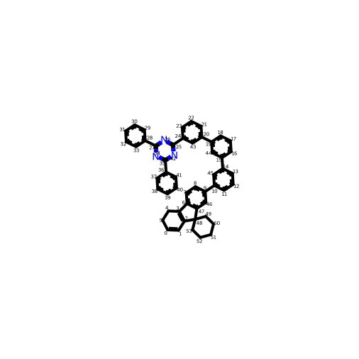 C1=CC2=C(CC1)c1ccc(-c3cccc(-c4cccc(-c5cccc(-c6nc(-c7ccccc7)nc(-c7ccccc7)n6)c5)c4)c3)cc1C21CCCCC1